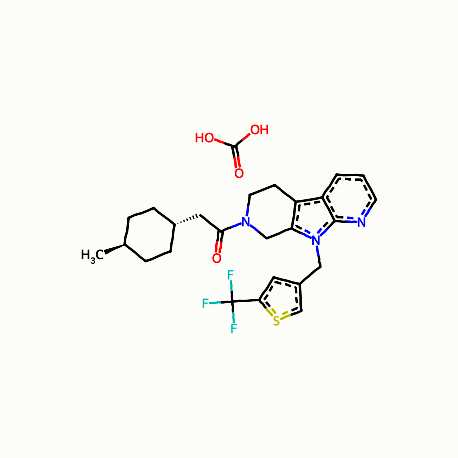 C[C@H]1CC[C@H](CC(=O)N2CCc3c(n(Cc4csc(C(F)(F)F)c4)c4ncccc34)C2)CC1.O=C(O)O